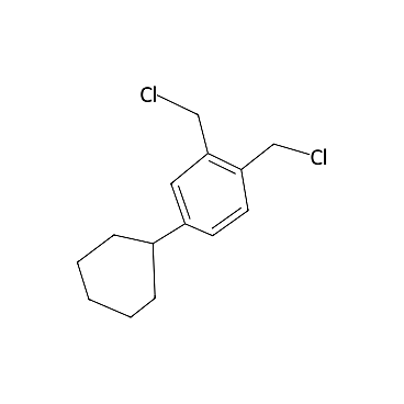 ClCc1ccc(C2CCCCC2)cc1CCl